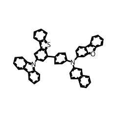 c1ccc2cc(N(c3ccc(-c4cc(-n5c6ccccc6c6ccccc65)cc5c4sc4ccccc45)cc3)c3ccc4c(c3)oc3ccccc34)ccc2c1